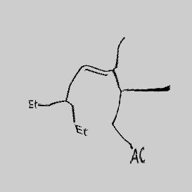 CCC(/C=C(/C)[C@@H](C)CC(C)=O)CC